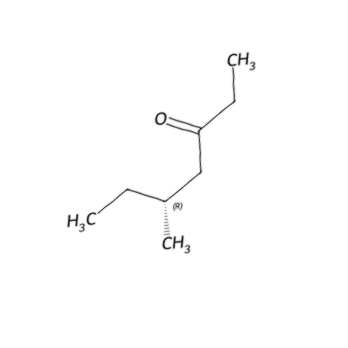 CCC(=O)C[C@H](C)CC